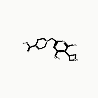 COC(=O)C1CCN(Cc2cc(C)c(C3CNC3)c(C)n2)CC1